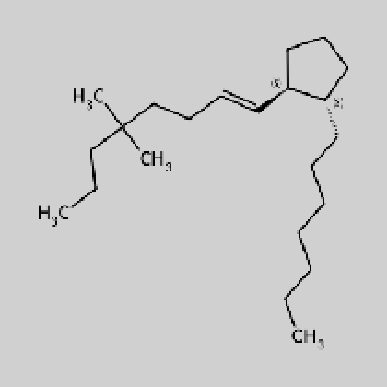 CCCCCCC[C@H]1CCC[C@@H]1C=CCCC(C)(C)CCC